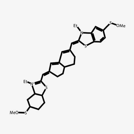 CCN1/C(=C/C2=CC3=C/C(=C/C4=[N+](CC)C5CC(SOC)CCC5S4)CCC3CC2)Sc2ccc(SOC)cc21